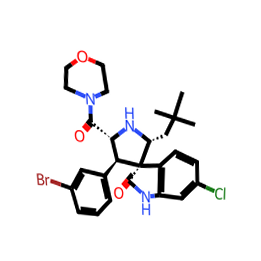 CC(C)(C)C[C@H]1N[C@@H](C(=O)N2CCOCC2)[C@H](c2cccc(Br)c2)[C@@]12C(=O)Nc1cc(Cl)ccc12